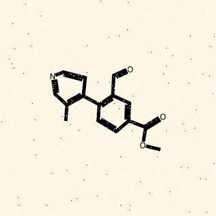 COC(=O)c1ccc(-c2ccncc2C)c(C=O)c1